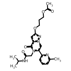 CC(=O)OCCCOc1cc2c(=O)n(CC(=O)NC(C)C)c(-c3cccc(C)n3)cn2n1